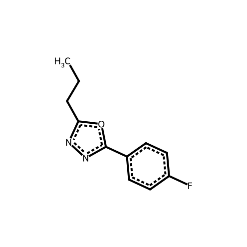 CCCc1nnc(-c2ccc(F)cc2)o1